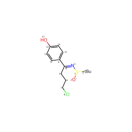 CC(C)(C)[S+]([O-])N=C(CCCCl)c1ccc(O)cc1